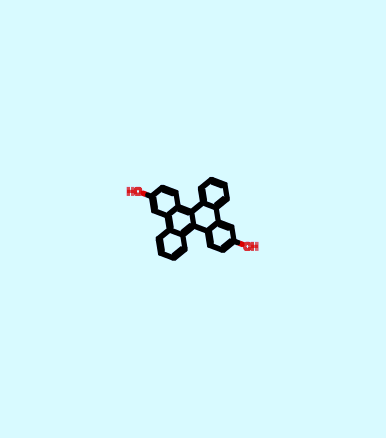 Oc1ccc2c(c1)c1ccccc1c1c3ccc(O)cc3c3ccccc3c21